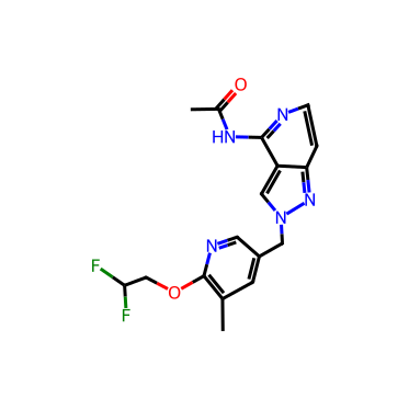 CC(=O)Nc1nccc2nn(Cc3cnc(OCC(F)F)c(C)c3)cc12